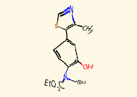 CCOC(=O)N(c1ccc(-c2scnc2C)cc1O)C(C)(C)C